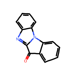 O=C1c2ccccc2-n2c1nc1ccccc12